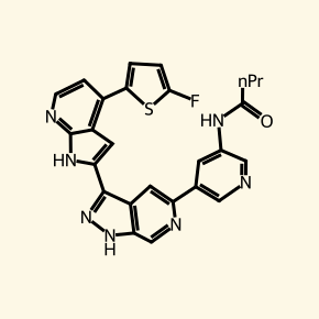 CCCC(=O)Nc1cncc(-c2cc3c(-c4cc5c(-c6ccc(F)s6)ccnc5[nH]4)n[nH]c3cn2)c1